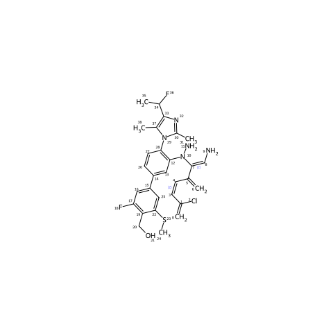 C=C(Cl)/C=C\C(=C)/C(=C/N)N(N)c1cc(-c2cc(F)c(CO)c(SC)c2)ccc1-n1c(C)nc(C(C)F)c1C